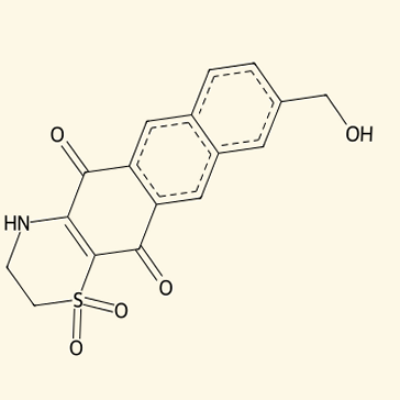 O=C1C2=C(C(=O)c3cc4cc(CO)ccc4cc31)S(=O)(=O)CCN2